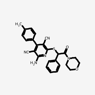 Cc1ccc(-c2c(C#N)c(N)nc(SC(C(=O)N3CCOCC3)c3ccccc3)c2C#N)cc1